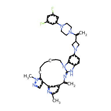 C=C1/N=C2\Nc3ccc(N4CC(C(=C)N5CCN(c6cc(F)cc(F)c6)CC5)C4)cc3N2CCCCCCc2c(cnn2C)-c2cc1cc(C)n2